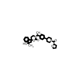 C[C@@H](c1ccc(C2CCN(C(=O)[C@H]3CCCO3)CC2)cc1)N1CCC(CC(C)(C)O)(c2ccccc2)OC1=O